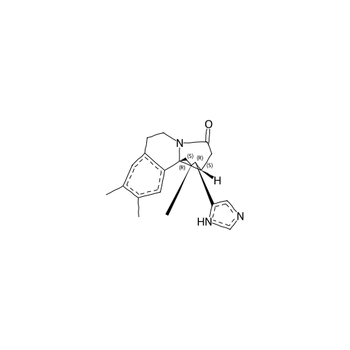 Cc1cc2c(cc1C)[C@@]13C[C@H](C)[C@@H](c4cnc[nH]4)[C@@H]1CC(=O)N3CC2